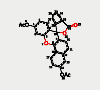 CC(=O)Oc1ccc2c(c1)Oc1c(ccc3cc(OC(C)=O)ccc13)C21OC(=O)c2ccccc21